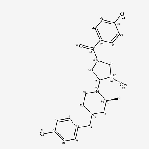 C[C@H]1CN(Cc2ccc(Cl)cc2)CCN1C1CN(C(=O)c2ccc(Cl)cc2)C[C@@H]1O